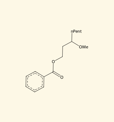 CCCCCC(CCOC(=O)c1ccccc1)OC